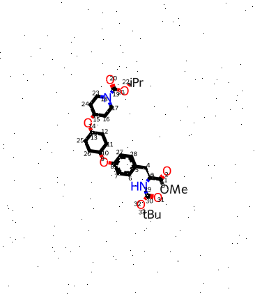 COC(=O)[C@H](Cc1ccc(OC2CCC(OC3CCN(C(=O)OC(C)C)CC3)CC2)cc1)NC(=O)OC(C)(C)C